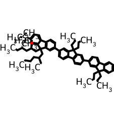 CCCCC(CC)CC1(CC(CC)CCCC)c2cc(-c3ccc4c(c3)C(CCC)(CCC)c3cc(-c5ccc6c(c5)C(CCC)(CCC)c5ccccc5-6)ccc3-4)ccc2-c2ccc([Si](C)(C)C)cc21